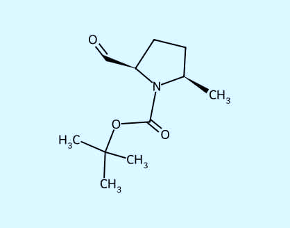 C[C@@H]1CC[C@H](C=O)N1C(=O)OC(C)(C)C